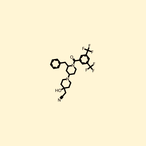 N#CCC1(O)CCN(C2CCN(C(=O)c3cc(C(F)(F)F)cc(C(F)(F)F)c3)C(Cc3ccccc3)C2)CC1